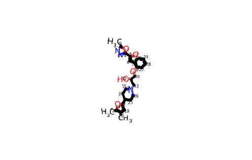 Cc1nnc(-c2cc3c(OC[C@@H](O)CN4CCC(c5cc(C)c(C)o5)CC4)cccc3o2)o1